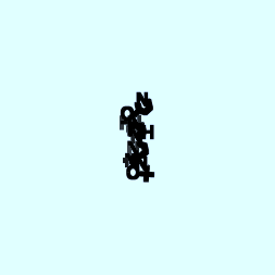 Cn1c(=O)n(CC(C)(C)C)c2ccc(N3C[C@@H]4C[C@H]3CN4C(=O)c3cccnc3)nc21